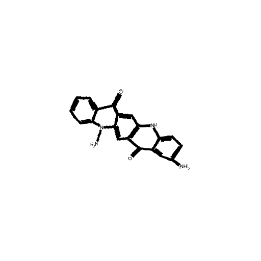 Nc1ccc2[nH]c3cc4c(=O)c5ccccc5n(N)c4cc3c(=O)c2c1